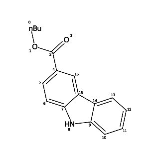 CCCCOC(=O)c1ccc2[nH]c3ccccc3c2c1